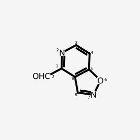 O=Cc1nccc2oncc12